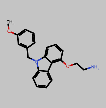 COc1cccc(Cn2c3ccccc3c3c(OCCN)cccc32)c1